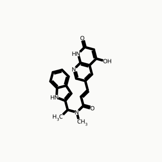 CC(c1cc2ccccc2[nH]1)N(C)C(=O)C=Cc1cnc2[nH]c(=O)cc(O)c2c1